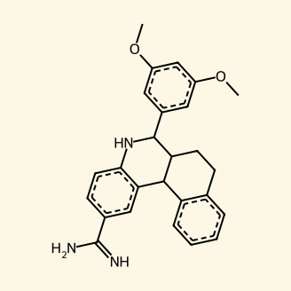 COc1cc(OC)cc(C2Nc3ccc(C(=N)N)cc3C3c4ccccc4CCC23)c1